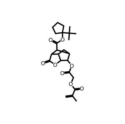 C=C(C)C(=O)OCC(=O)OC1C2CC3C1OC(=O)C3C2C(=O)OC1(C(C)(C)C)CCCC1